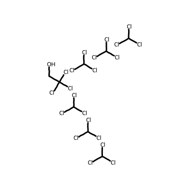 ClC(Cl)Cl.ClC(Cl)Cl.ClC(Cl)Cl.ClC(Cl)Cl.ClC(Cl)Cl.ClC(Cl)Cl.OCC(Cl)(Cl)Cl